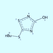 CCCCSc1nc(O)ns1